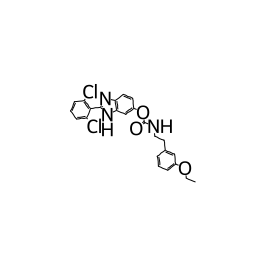 CCOc1cccc(CCNC(=O)Oc2ccc3nc(-c4c(Cl)cccc4Cl)[nH]c3c2)c1